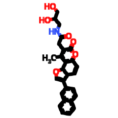 Cc1c2c(oc(=O)c1CC(=O)NCC(O)CO)C=CC1C(c3ccc4ccccc4c3)=COC21